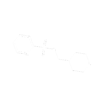 O=S(=O)(NCC1CCNCC1)c1ccccn1